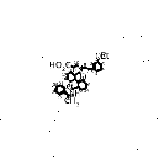 CCOc1cccc(CCN(CCC(=O)O)C(=O)c2ccccc2-c2ccccc2C(=O)NC(C)c2ccccc2)c1